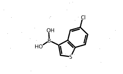 OB(O)c1csc2ccc(Cl)cc12